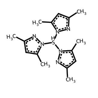 Cc1cc(C)n([SH](n2nc(C)cc2C)n2nc(C)cc2C)n1